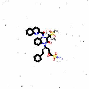 CCN(C(=O)c1ccc2ccccc2n1)[C@H](C(=O)N(c1ccccc1)[C@H](CCc1ccccc1)CC1OC1S(N)(=O)=O)C(C)(C)S(C)(=O)=O